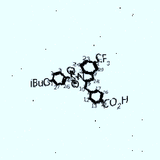 CC(C)COc1ccc(S(=O)(=O)n2c(Cc3ccc(C(=O)O)cc3)cc3cc(C(F)(F)F)ccc32)cc1